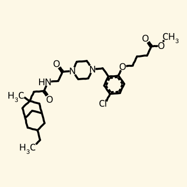 CCC1CC2CC(C1)CC(C)(CC(=O)NCC(=O)N1CCN(Cc3cc(Cl)ccc3OCCCC(=O)OC)CC1)C2